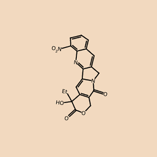 CCC1(O)C(=O)OCc2c1cc1n(c2=O)Cc2cc3cccc([N+](=O)[O-])c3nc2-1